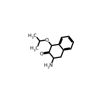 CC(C)OC1C(=O)C(N)Cc2ccccc21